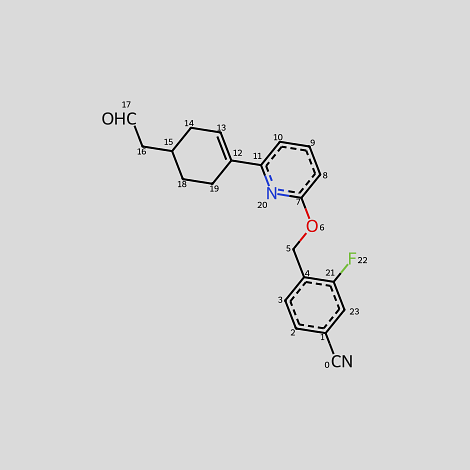 N#Cc1ccc(COc2cccc(C3=CCC(CC=O)CC3)n2)c(F)c1